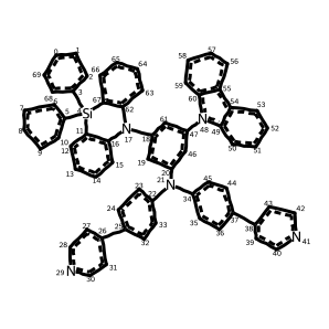 c1ccc([Si]2(c3ccccc3)c3ccccc3N(c3cc(N(c4ccc(-c5ccncc5)cc4)c4ccc(-c5ccncc5)cc4)cc(-n4c5ccccc5c5ccccc54)c3)c3ccccc32)cc1